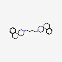 c1ccc2c(c1)CCCC21CCN(CCCCN2CCC3(CCCc4ccccc43)CC2)CC1